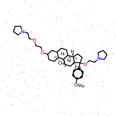 COc1ccc(C2(OCCN3CCCC3)CC[C@H]3[C@@H]4CCC5CC(OCCOCCN6CCCC6)CC[C@]5(C)[C@@H]4CC[C@@]32C)cc1